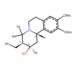 [2H]C1([2H])[C@H](CC(C)C)[C@]([2H])(O)C[C@H]2c3cc(OC)c(OC)cc3CCN21